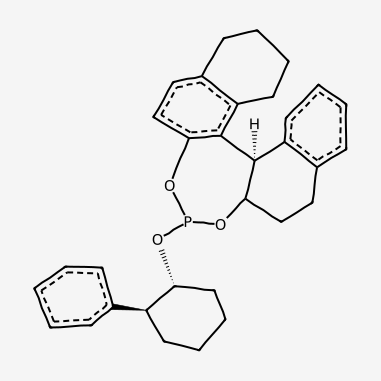 c1ccc([C@@H]2CCCC[C@H]2OP2Oc3ccc4c(c3[C@H]3c5ccccc5CCC3O2)CCCC4)cc1